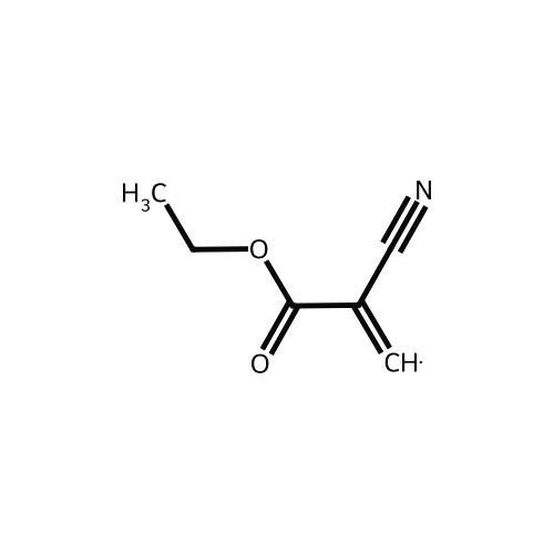 [CH]=C(C#N)C(=O)OCC